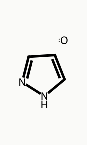 [O].c1cn[nH]c1